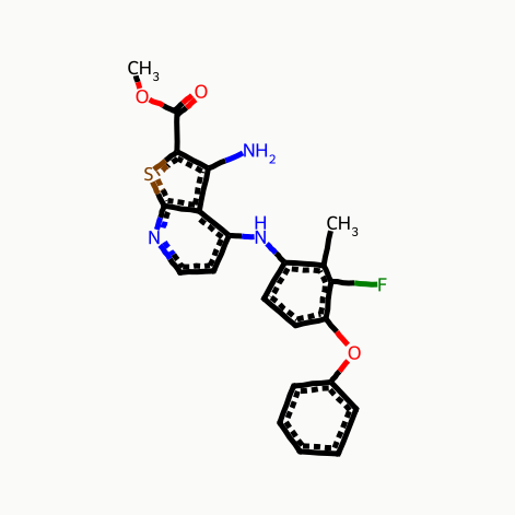 COC(=O)c1sc2nccc(Nc3ccc(Oc4ccccc4)c(F)c3C)c2c1N